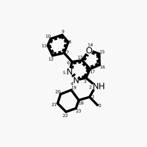 CC(Nc1nnc(-c2ccccc2)c2occc12)C1CCCCC1